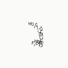 O=C(O)CCCCc1cc2cc(C(=O)N[C@H](c3ccccc3)C(F)(F)F)ccc2nc1-c1ccccc1